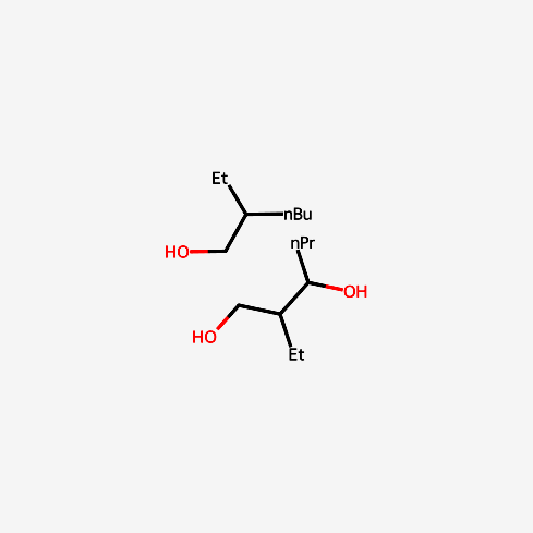 CCCC(O)C(CC)CO.CCCCC(CC)CO